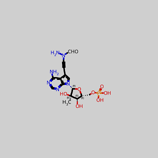 C[C@@]1(O)[C@H](O)[C@@H](COP(=O)(O)O)O[C@H]1n1cc(C#CN(N)C=O)c2c(N)ncnc21